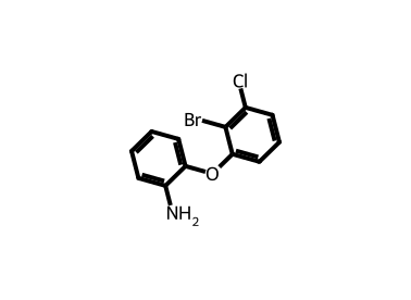 Nc1ccccc1Oc1cccc(Cl)c1Br